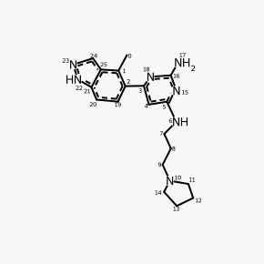 Cc1c(-c2cc(NCCCN3CCCC3)nc(N)n2)ccc2[nH]ncc12